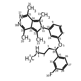 CNCC[C@@H](Oc1cccc(-n2c(C)c3c(C)nnc(C)c3c2C)c1)c1cccc(F)c1